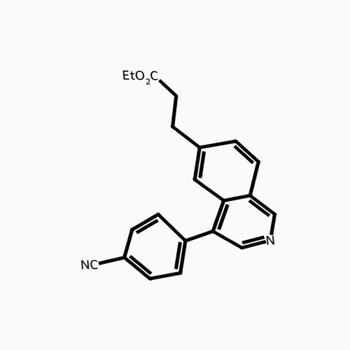 CCOC(=O)CCc1ccc2cncc(-c3ccc(C#N)cc3)c2c1